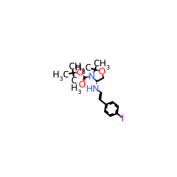 CC(C)(C)OC(=O)N1[C@@H](N/C=C/c2ccc(I)cc2)COC1(C)C